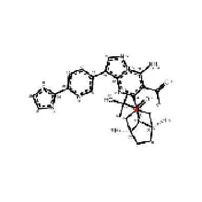 CC(=O)c1c([C@H]2C[C@H]3CC[C@@H](C2)N3C(=O)C(C)(C)O)nc2c(-c3ccc(-c4nccs4)nc3)cnn2c1N